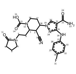 N#CC1C(CCN2CCCC2=O)N(C(=O)O)CCC1n1cc(C(N)=O)c(Nc2ccc(F)cc2)n1